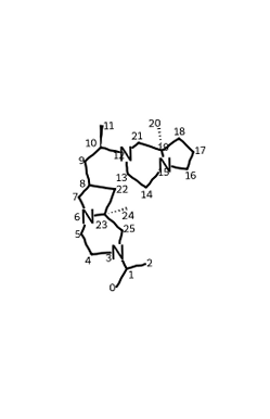 CC(C)N1CCN2CC(C[C@@H](C)N3CCN4CCC[C@]4(C)C3)C[C@@]2(C)C1